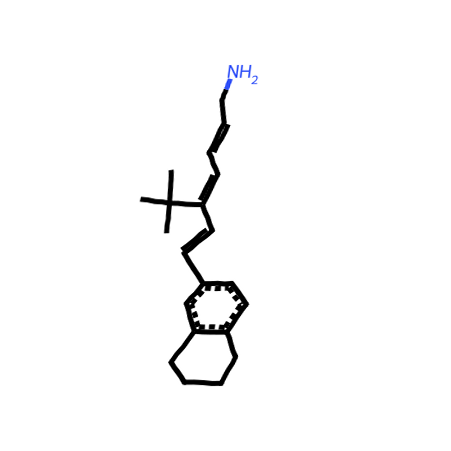 CC(C)(C)C(=C\C=C\CN)/C=C/c1ccc2c(c1)CCCC2